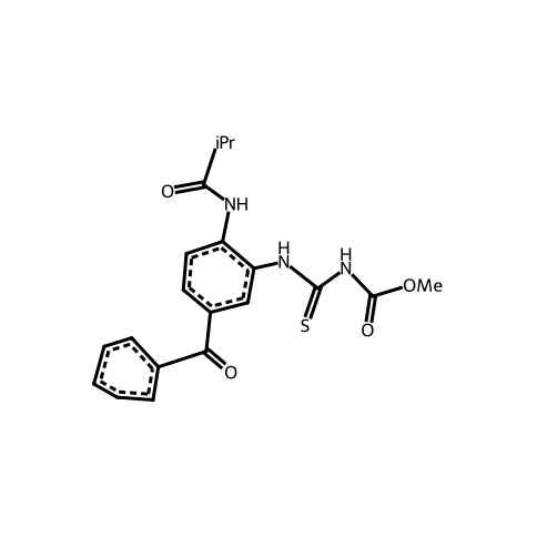 COC(=O)NC(=S)Nc1cc(C(=O)c2ccccc2)ccc1NC(=O)C(C)C